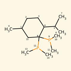 CC1CCC(C(C)C)C(P(C)C)(P(C)C)C1